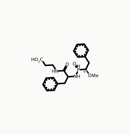 CO[C@H](Cc1ccccc1)[PH](=O)NC(Cc1ccccc1)C(=O)NCCC(=O)O